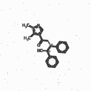 Cc1c(C(=O)C[C@H](c2ccccc2)[C@H](C#N)c2ccccc2)cnn1C